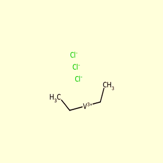 C[CH2][V+3][CH2]C.[Cl-].[Cl-].[Cl-]